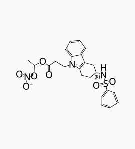 CC(OC(=O)CCn1c2c(c3ccccc31)C[C@H](NS(=O)(=O)c1ccccc1)CC2)O[N+](=O)[O-]